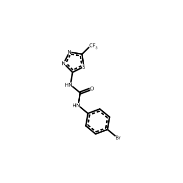 O=C(Nc1ccc(Br)cc1)Nc1nnc(C(F)(F)F)s1